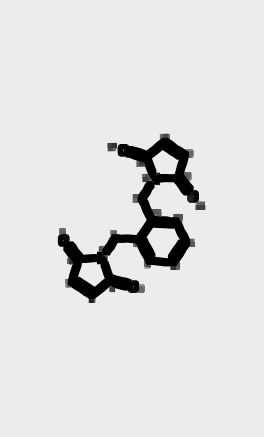 O=C1C=CC(=O)N1Cc1ccccc1CN1C(=O)C=CC1=O